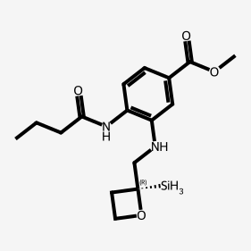 CCCC(=O)Nc1ccc(C(=O)OC)cc1NC[C@]1([SiH3])CCO1